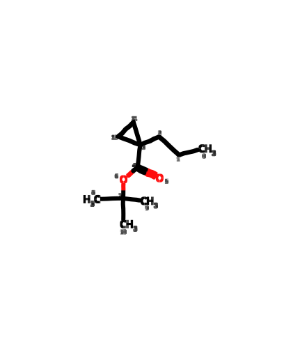 CCCC1(C(=O)OC(C)(C)C)CC1